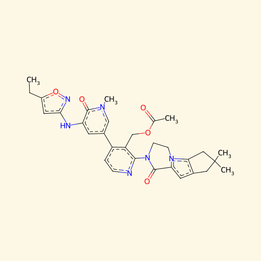 CCc1cc(Nc2cc(-c3ccnc(N4CCn5c(cc6c5CC(C)(C)C6)C4=O)c3COC(C)=O)cn(C)c2=O)no1